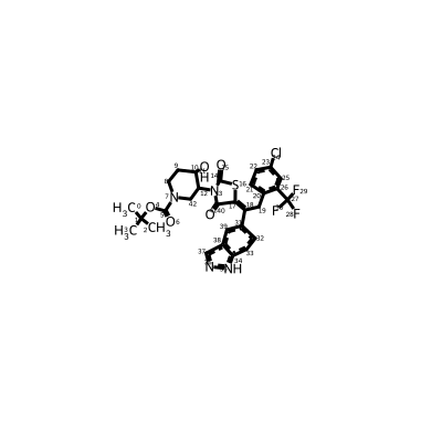 CC(C)(C)OC(=O)N1CCC(O)C(N2C(=O)SC(=C(Cc3ccc(Cl)cc3C(F)(F)F)c3ccc4[nH]ncc4c3)C2=O)C1